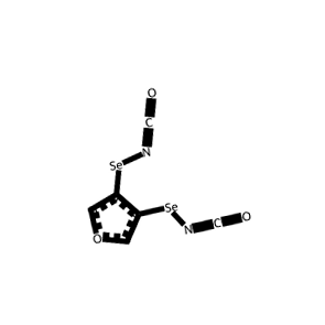 O=C=N[Se]c1cocc1[Se]N=C=O